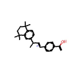 C=C(O)c1ccc(/C=C/C(C)c2ccc3c(c2)C(C)(C)CCC3(C)C)cc1